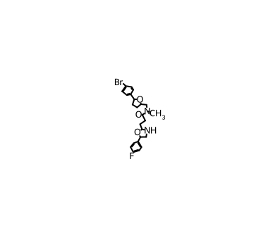 CN(CC1CCC(c2ccc(Br)cc2)O1)C(=O)CCC1NCC(c2ccc(F)cc2)O1